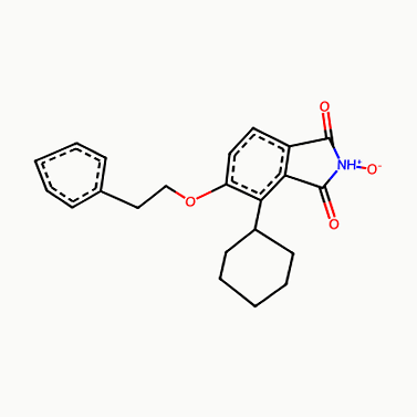 O=C1c2ccc(OCCc3ccccc3)c(C3CCCCC3)c2C(=O)[NH+]1[O-]